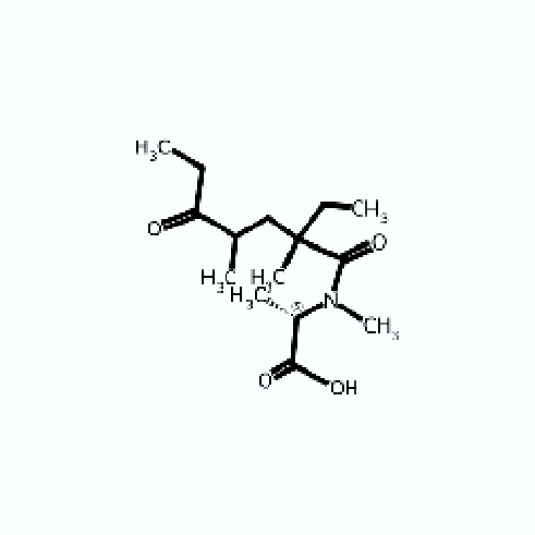 CCC(=O)C(C)CC(C)(CC)C(=O)N(C)[C@@H](C)C(=O)O